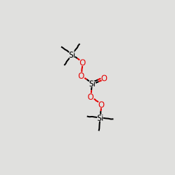 C[Si](C)(C)OO[Si](=O)OO[Si](C)(C)C